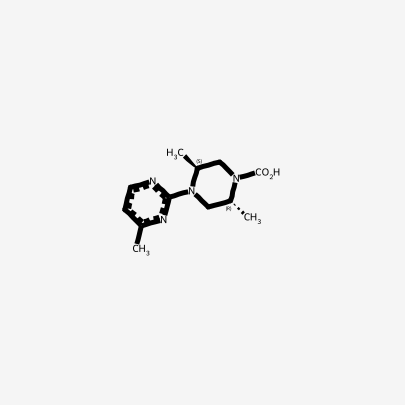 Cc1ccnc(N2C[C@@H](C)N(C(=O)O)C[C@@H]2C)n1